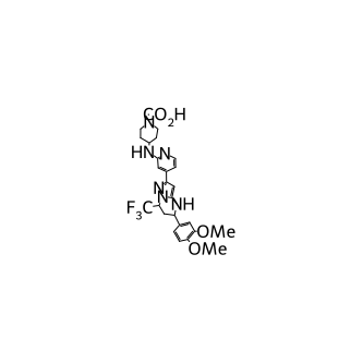 COc1ccc(C2CC(C(F)(F)F)n3nc(-c4ccnc(NC5CCN(C(=O)O)CC5)c4)cc3N2)cc1OC